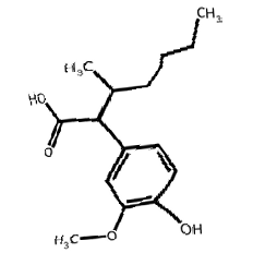 CCCCC(C)C(C(=O)O)c1ccc(O)c(OC)c1